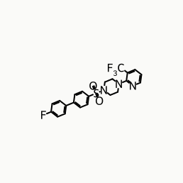 O=S(=O)(c1ccc(-c2ccc(F)cc2)cc1)N1CCN(c2ncccc2C(F)(F)F)CC1